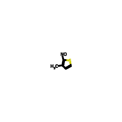 Cc1ccsc1N=O